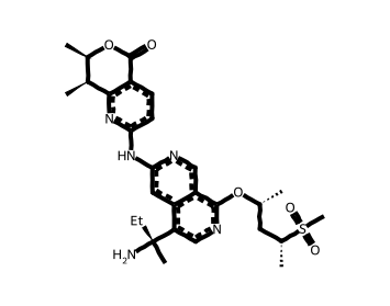 CC[C@@](C)(N)c1cnc(O[C@H](C)C[C@@H](C)S(C)(=O)=O)c2cnc(Nc3ccc4c(n3)[C@@H](C)[C@@H](C)OC4=O)cc12